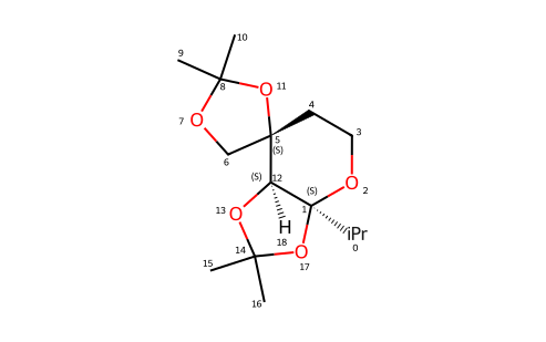 CC(C)[C@@]12OCC[C@]3(COC(C)(C)O3)[C@@H]1OC(C)(C)O2